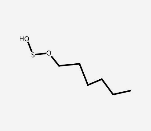 CCCCCCOSO